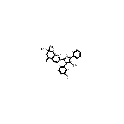 CC1(C)CC(=O)c2ccc(-c3nc(-c4ccccc4)c(N)n3-c3cccc(F)c3)nc2C1